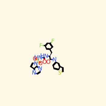 CN(C(=O)[C@H](Cc1cc(F)cc(F)c1)NC(=O)NS(=O)(=O)n1ccc2nccnc21)c1ccc2sccc2c1